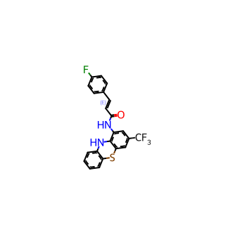 O=C(/C=C/c1ccc(F)cc1)Nc1cc(C(F)(F)F)cc2c1Nc1ccccc1S2